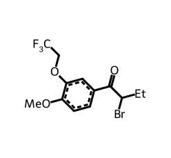 CCC(Br)C(=O)c1ccc(OC)c(OCC(F)(F)F)c1